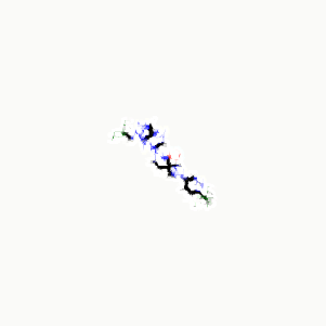 O=C1N(c2cnc3cnn(CC(F)F)c3n2)CCC12CN(c1ccc(C(F)(F)F)nc1)C2